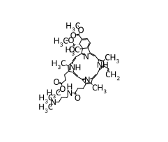 C=Cc1c(C)c2cc3nc(cc4[nH]c(cc5nc(cc1[nH]2)C(C)=C5CCC(=O)NCCCN(C)C)c(CCC(=O)OC)c4C)[C@@]1(C)C3=CC=C(C(=O)OC)[C@H]1C(=O)OC